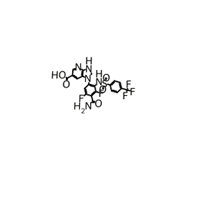 NC(=O)c1c(F)cc(N2CNc3ncc(C(=O)O)cc32)c(NS(=O)(=O)c2ccc(C(F)(F)F)cc2)c1F